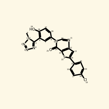 Cn1nnnc1-c1cc(-n2cnc3cc(-c4ccc(Cl)cc4)sc3c2=O)ccc1O